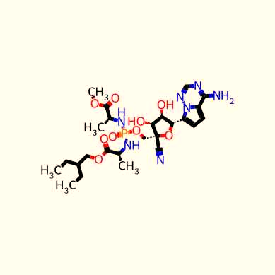 CCC(CC)COC(=O)[C@H](C)N[P@@](=O)(N[C@@H](C)C(=O)OC)OC[C@@]1(C#N)O[C@@H](c2ccc3c(N)ncnn23)[C@H](O)[C@@H]1O